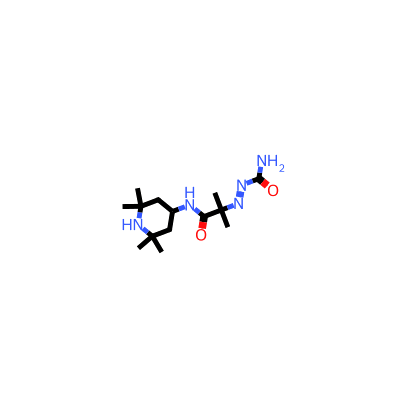 CC1(C)CC(NC(=O)C(C)(C)N=NC(N)=O)CC(C)(C)N1